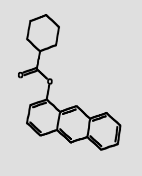 O=C(Oc1cccc2cc3ccccc3cc12)C1CCCCC1